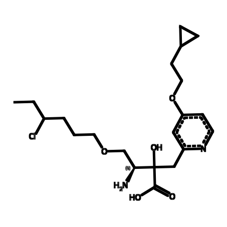 CCC(Cl)CCCOC[C@H](N)C(O)(Cc1cc(OCCC2CC2)ccn1)C(=O)O